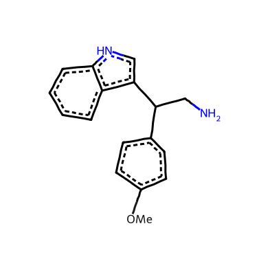 COc1ccc(C(CN)c2c[nH]c3ccccc23)cc1